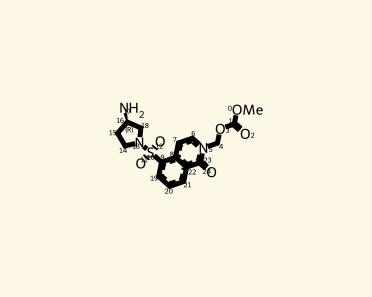 COC(=O)OCn1ccc2c(S(=O)(=O)N3CC[C@@H](N)C3)cccc2c1=O